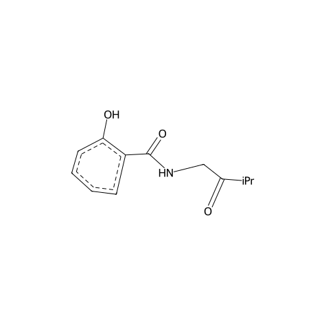 CC(C)C(=O)CNC(=O)c1ccccc1O